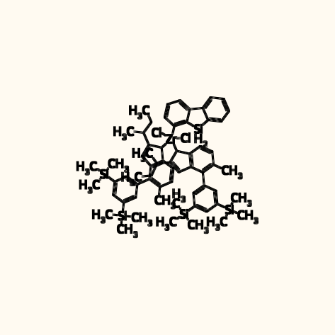 CCC(C)C1=Cc2c(ccc(C)c2-c2cc([Si](C)(C)C)cc([Si](C)(C)C)c2)[CH]1[Zr]([Cl])([Cl])([c]1cccc2c1[SiH2]c1ccccc1-2)[CH]1C(C(C)CC)=Cc2c1ccc(C)c2-c1cc([Si](C)(C)C)cc([Si](C)(C)C)c1